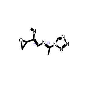 C=N/C(=C\N=C(/C)n1cnnn1)C1CO1